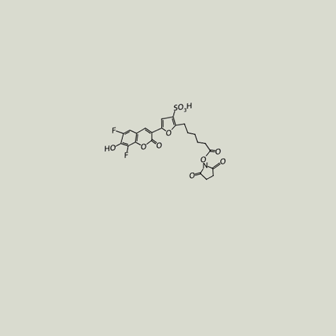 O=C(CCCCCc1oc(-c2cc3cc(F)c(O)c(F)c3oc2=O)cc1S(=O)(=O)O)ON1C(=O)CCC1=O